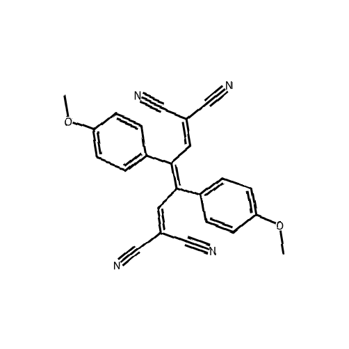 COc1ccc(/C(C=C(C#N)C#N)=C(\C=C(C#N)C#N)c2ccc(OC)cc2)cc1